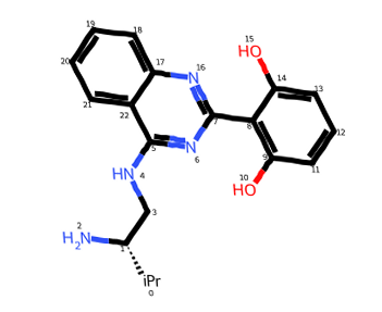 CC(C)[C@H](N)CNc1nc(-c2c(O)cccc2O)nc2ccccc12